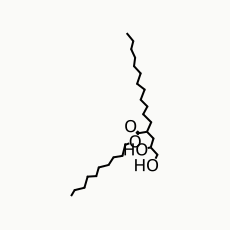 CCCCCCCCCCCCC(CC(O)CO)C(=O)OCCCCCCCCCC